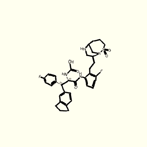 O=C(O)N[C@H](C(=O)Nc1cccc(F)c1CCC1CNC2CCCS(=O)(=O)N1C2)[C@@H](c1ccc(F)cc1)c1ccc2c(c1)CCC2